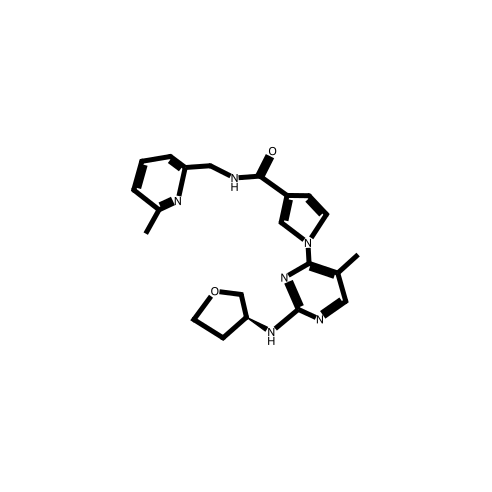 Cc1cccc(CNC(=O)c2ccn(-c3nc(N[C@H]4CCOC4)ncc3C)c2)n1